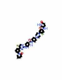 O=C1CCC(Nc2ccc(N3CCN(C4CCC(NC(=O)[C@H]5CC[C@H](Nc6ncc(F)c(-c7cccc(-n8ccccc8=O)c7)n6)CC5)CC4)CC3)c(F)c2)C(=O)N1